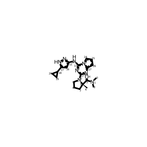 CN(C)C(=O)[C@]1(C)CCCN1c1nc(Nc2cc(C3CC3)[nH]n2)n2cccc2n1